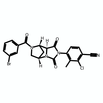 Cc1c(N2C(=O)[C@@H]3[C@@H]4C[C@@H](CN4C(=O)c4cccc(Br)c4)N3C2=O)ccc(C#N)c1Cl